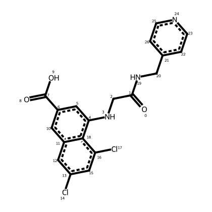 O=C(CNc1cc(C(=O)O)cc2cc(Cl)cc(Cl)c12)NCc1ccncc1